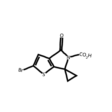 O=C(O)N1C(=O)c2cc(Br)sc2C12CC2